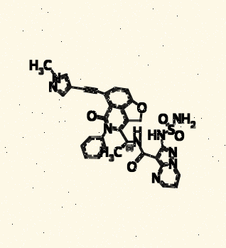 C[C@H](NC(=O)c1c(NS(N)(=O)=O)nn2cccnc12)c1c2c3c(ccc(C#Cc4cnn(C)c4)c3c(=O)n1-c1ccccc1)OC2